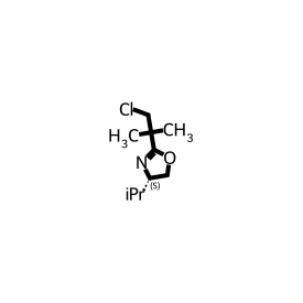 CC(C)[C@H]1COC(C(C)(C)CCl)=N1